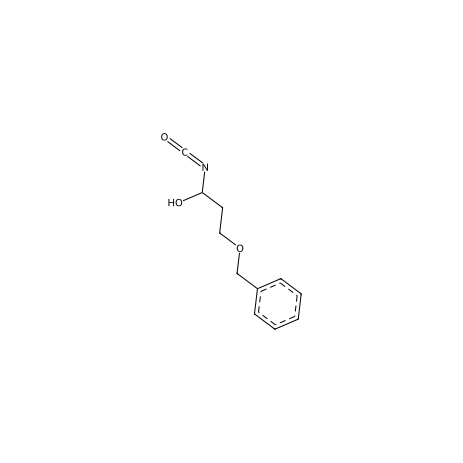 O=C=NC(O)CCOCc1ccccc1